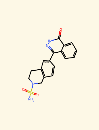 NS(=O)(=O)N1CCc2cc(-c3n[nH]c(=O)c4ccccc34)ccc2C1